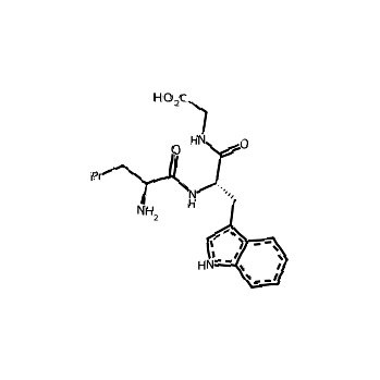 CC(C)C[C@H](N)C(=O)N[C@@H](Cc1c[nH]c2ccccc12)C(=O)NCC(=O)O